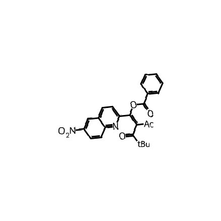 CC(=O)C(C(=O)C(C)(C)C)=C(OC(=O)c1ccccc1)c1ccc2cc([N+](=O)[O-])ccc2n1